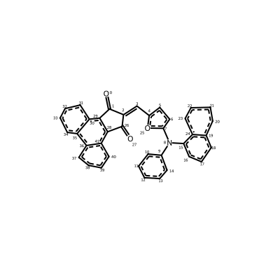 O=C1C(=Cc2ccc(N(c3ccccc3)c3cccc4ccccc34)o2)C(=O)c2c1c1ccccc1c1ccccc21